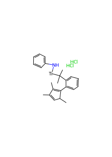 CC1=CC(C)C(c2ccccc2[C](C)(C)[Ti][NH]c2ccccc2)=C1C.Cl.Cl